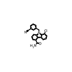 N#Cc1cccc(Cn2c3cccc(C(N)=O)c3c3[c]ccc(Cl)c32)c1